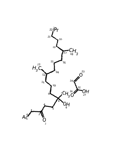 CC(=O)CC(=O)CCC(C)(O)CCCC(C)CCCC(C)CCCC(C)C.O=CC(=O)O